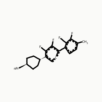 CCC[C@H]1CC[C@H](c2ccc(-c3ccc(C)c(F)c3F)c(F)c2F)CC1